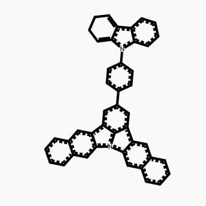 C1=c2c(n(-c3ccc(-c4cc5c6cc7ccccc7cc6n6c7cc8ccccc8cc7c(c4)c56)cc3)c3ccccc23)=CCC1